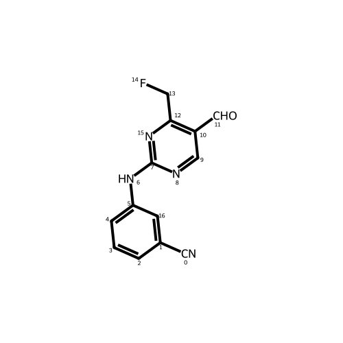 N#Cc1cccc(Nc2ncc(C=O)c(CF)n2)c1